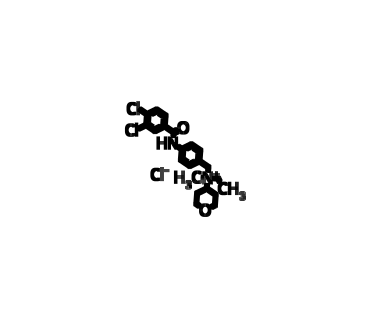 CC[N+](C)(Cc1ccc(NC(=O)c2ccc(Cl)c(Cl)c2)cc1)C1CCOCC1.[Cl-]